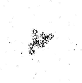 c1ccc(-c2ccc(-c3nc(-c4cccc(-c5ccccc5)c4)nc(-c4cccc5c4oc4c5ccc5c4c4ccccc4n5-c4ccccc4)n3)cc2)cc1